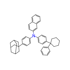 c1ccc(C2(c3ccc(N(c4ccc(C56CC7CC(CC(C7)C5)C6)cc4)c4ccc5ccccc5c4)cc3)CCCCC2)cc1